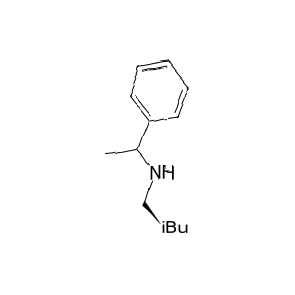 CC[C@H](C)CNC(C)c1ccccc1